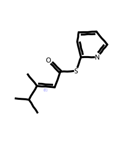 C/C(=C\C(=O)Sc1ccccn1)C(C)C